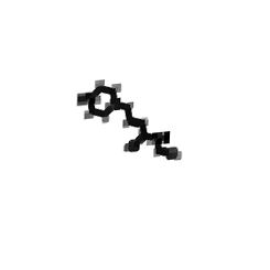 O=CNC(=O)C=CCN1CCNCC1